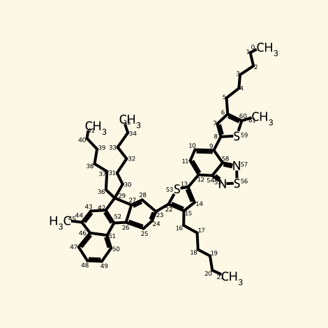 CCCCCCc1cc(-c2ccc(-c3cc(CCCCCC)c(-c4ccc5c(c4)C(CCCCCC)(CCCCCC)c4cc(C)c6ccccc6c4-5)s3)c3nsnc23)sc1C